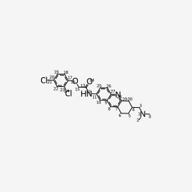 CN(C)CC1CCc2cc3cc(NC(=O)COc4ccc(Cl)cc4Cl)ccc3nc2C1